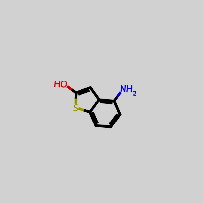 Nc1cccc2sc(O)cc12